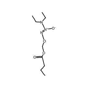 CCCC(=O)OCO/N=[N+](\[O-])N(CC)CC